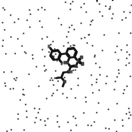 COC(C)CNC1=NS(=O)(=O)c2cccc(-c3cc(F)ccc3F)c2N1